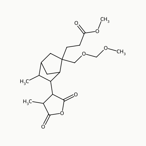 COCOCC1(CCC(=O)OC)CC2CC1C(C1C(=O)OC(=O)C1C)C2C